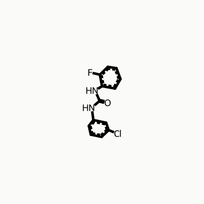 O=C(Nc1cccc(Cl)c1)Nc1ccccc1F